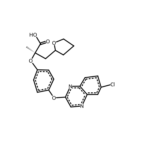 C[C@](CC1CCCO1)(Oc1ccc(Oc2cnc3cc(Cl)ccc3n2)cc1)C(=O)O